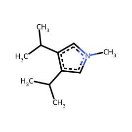 CC(C)c1cn(C)cc1C(C)C